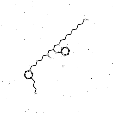 CCCCCCCCCCCCCCCCCCOCC(C[S+]([O-])CCOCC[n+]1cccc(CCCO)c1)Oc1ncccn1.[Cl-]